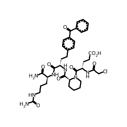 NC(=O)NCCC[C@H](NC(=O)[C@H](CCc1ccc(C(=O)c2ccccc2)cc1)NC(=O)[C@@H]1CCCCN1C(=O)[C@H](CCC(=O)O)NC(=O)CCl)C(N)=O